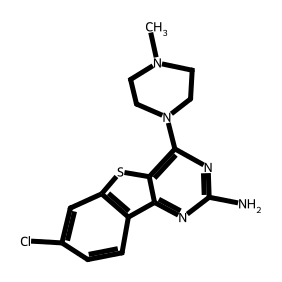 CN1CCN(c2nc(N)nc3c2sc2cc(Cl)ccc23)CC1